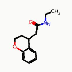 CCNC(=O)CC1CCOc2ccccc21